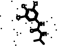 CC(C)NC(=O)Nc1cc(Cl)[n+]([O-])c(Cl)c1